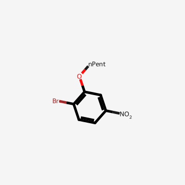 CCCCCOc1cc([N+](=O)[O-])ccc1Br